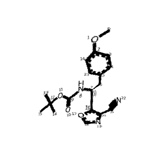 COc1ccc(C[C@H](NC(=O)OC(C)(C)C)c2ocnc2C#N)cc1